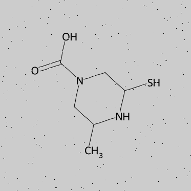 CC1CN(C(=O)O)CC(S)N1